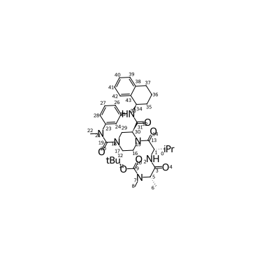 CC(C)[C@H](NC(=O)[C@H](C)N(C)C(=O)OC(C)(C)C)C(=O)N1CCN(C(=O)N(C)c2ccccc2)C[C@H]1C(=O)N[C@@H]1CCCc2ccccc21